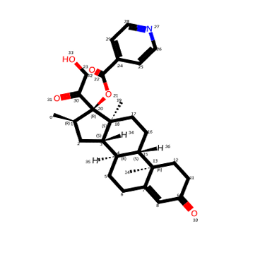 C[C@@H]1C[C@H]2[C@@H]3CCC4=CC(=O)CC[C@]4(C)[C@H]3CC[C@]2(C)[C@@]1(OC(=O)c1ccncc1)C(=O)CO